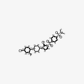 CN(C)S(=O)(=O)c1ccc(S(=O)(=O)n2ccn(C3CCN(c4ccc(Cl)cc4F)CC3)c2=O)cc1